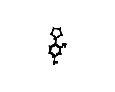 CCCC[n+]1ccc(N2CCCC2)cc1.[OH-]